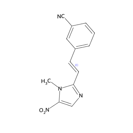 Cn1c([N+](=O)[O-])cnc1/C=C/c1cccc(C#N)c1